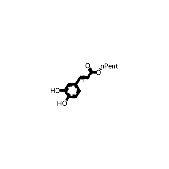 CCCCCOC(=O)/C=C/c1ccc(O)c(O)c1